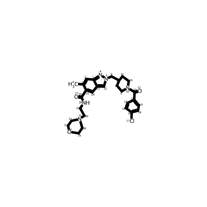 Cc1cc2nn(CC3CCN(C(=O)c4ccc(Cl)cc4)CC3)cc2cc1C(=O)NCCN1CCOCC1